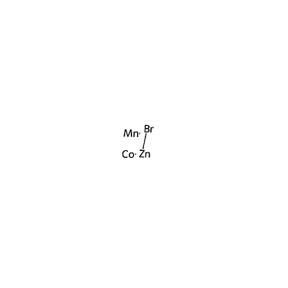 [Co].[Mn].[Zn][Br]